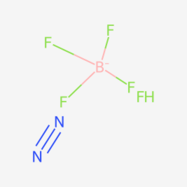 F.F[B-](F)(F)F.N#N